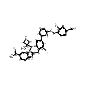 N#Cc1ccc(COc2cccc(-c3ccc(Cc4nc5ccc(C(=O)O)cc5n4CC4(O)COC4)c(F)c3)n2)c(F)c1